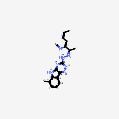 C=NC(=C\C=C/C)/C(C)=N\Nc1nnc2c(n1)[nH]c1c(C)cccc12